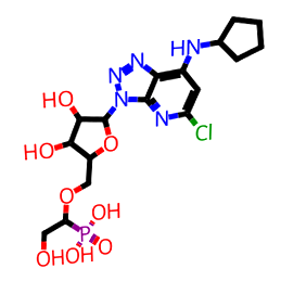 O=P(O)(O)C(CO)OCC1OC(n2nnc3c(NC4CCCC4)cc(Cl)nc32)C(O)C1O